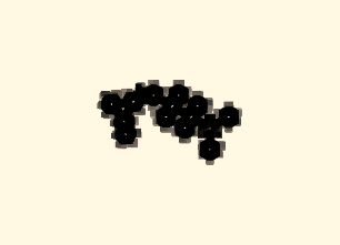 c1ccc(-c2nc(-c3ccccc3)nc(-c3c4ccccc4c(-c4c5ccccc5c(-c5ccc6sc7cc8c9ccccc9c9cc%10ccccc%10cc9c8cc7c6c5)c5ccccc45)c4ccccc34)n2)cc1